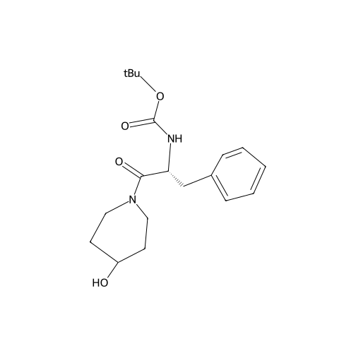 CC(C)(C)OC(=O)N[C@H](Cc1ccccc1)C(=O)N1CCC(O)CC1